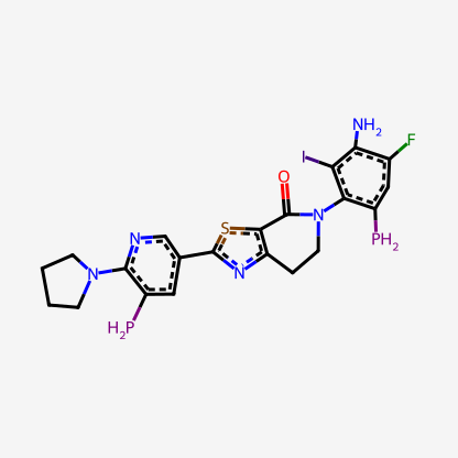 Nc1c(F)cc(P)c(N2CCc3nc(-c4cnc(N5CCCC5)c(P)c4)sc3C2=O)c1I